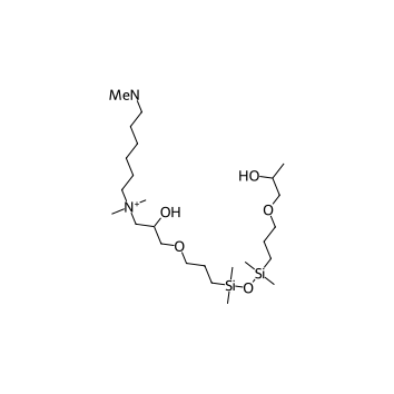 CNCCCCCC[N+](C)(C)CC(O)COCCC[Si](C)(C)O[Si](C)(C)CCCOCC(C)O